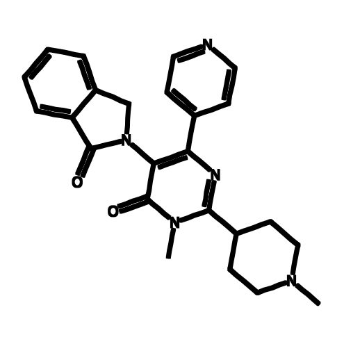 CN1CCC(c2nc(-c3ccncc3)c(N3Cc4ccccc4C3=O)c(=O)n2C)CC1